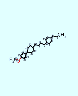 C=CCC1CCC(CCCCC2CCC(c3ccc(OC(F)(F)F)cc3)CC2)CC1